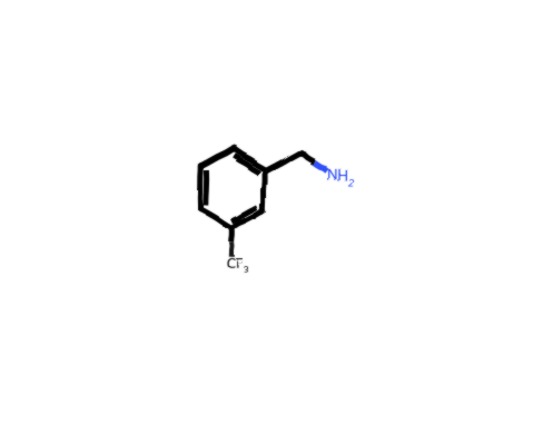 NCc1[c]c(C(F)(F)F)ccc1